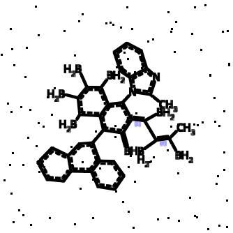 B=c1c(-c2cc3ccccc3c3ccccc23)c2c(B)c(B)c(B)c(B)c2c(-n2c(C)nc3ccccc32)/c1=C(B)/C(B)=C(/B)C